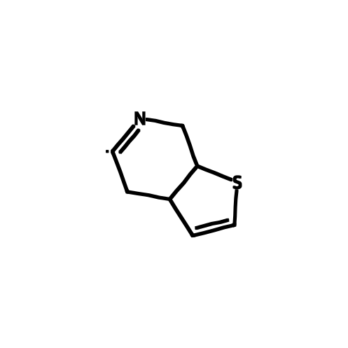 [C]1=NCC2SC=CC2C1